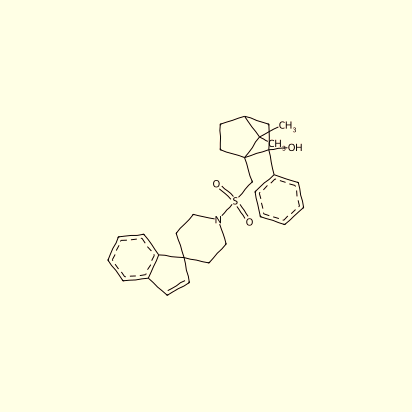 CC1(C)C2CCC1(CS(=O)(=O)N1CCC3(C=Cc4ccccc43)CC1)C(O)(c1ccccc1)C2